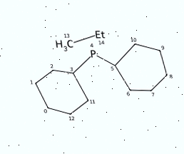 C1CCC([P]C2CCCCC2)CC1.CCC